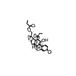 CCC(=O)OCC(=O)C1(OC(=O)CC)[C@@H](C)C[C@H]2[C@@H]3CCC4=CC(=O)C=C[C@]4(C)[C@@]3(F)[C@@H](O)C[C@@]21C